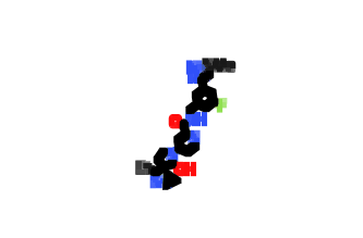 CCC(=N)[C@@]1(C2CC2)CCN(c2ccnc(C(=O)NCc3cc(F)cc(/C(=C/NC)N=N)c3)c2)C1O